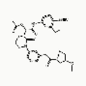 [C-]#[N+]c1ccc(NC(=O)[C@H](OC(C)=O)[C@H]2OCCN(c3cccc(CC(=O)N4CC[C@@H](OC)C4)c3)C2=O)cc1CC